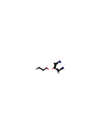 CC(=O)OCCCOc1c(C)[c]ncc1C